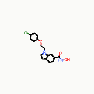 O=C(NO)c1ccc2ccn(CCOc3ccc(Cl)cc3)c2c1